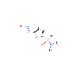 CCN(CC)S(=O)(=O)c1ccc(C=[NH+][O-])o1